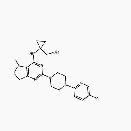 [O-][S+]1CCc2nc(N3CCN(c4ccc(Cl)cn4)CC3)nc(NC3(CO)CC3)c21